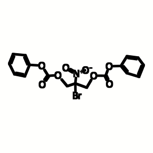 O=C(OCC(Br)(COC(=O)Oc1ccccc1)[N+](=O)[O-])Oc1ccccc1